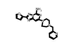 Nc1nc(N2CCN(Cc3ccccn3)CC2)cc2nc(-c3ccco3)nn12